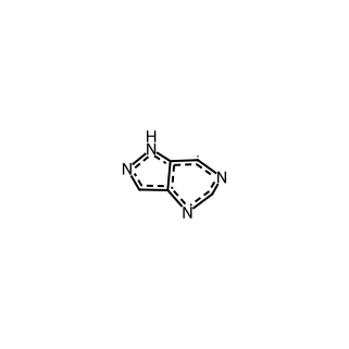 [c]1ncnc2cn[nH]c12